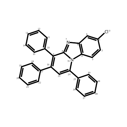 Clc1ccc2c(c1)nc1c(-c3ccccc3)c(-c3ccccc3)cc(-c3ccccc3)n12